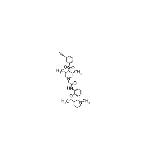 CC(Oc1ccccc1NC(=O)CN1CC(C)N(S(=O)(=O)c2cccc(C#N)c2)C(C)C1)C1CCCN(C)C1